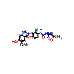 COc1cc2c(Oc3ccc(NC(=O)Nc4cc(C)on4)c(Cl)c3)ncnc2cc1O